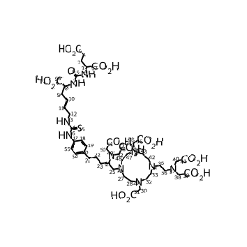 O=C(O)CCC(NC(=O)NC(CCCCNC(=S)Nc1ccc(CCCC(CN2CCN(CC(=O)O)CCN(CCN(CC(=O)O)CC(=O)O)CCN(CC(=O)O)CC2)N(CC(=O)O)CC(=O)O)cc1)C(=O)O)C(=O)O